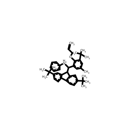 C=CCOc1c(C([SiH2]c2ccccc2)C2c3cc(C(C)(C)C)ccc3-c3ccc(C(C)(C)C)cc32)cc(C)cc1C(C)(C)C